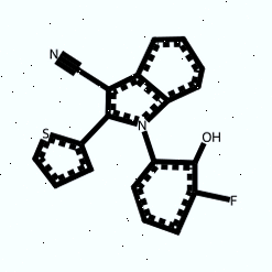 N#Cc1c(-c2cccs2)n(-c2cccc(F)c2O)c2ccccc12